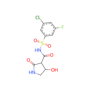 O=C1NCC(O)C1C(=O)NS(=O)(=O)c1cc(F)cc(Cl)c1